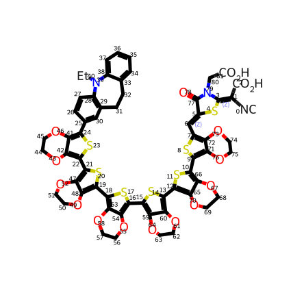 [C-]#[N+]/C(C(=O)O)=c1\s/c(=C\c2sc(-c3sc(-c4sc(-c5sc(-c6sc(-c7sc(-c8ccc9c(c8)CCc8ccccc8N9CC)c8c7OCCO8)c7c6OCCO7)c6c5OCCO6)c5c4OCCO5)c4c3OCCO4)c3c2OCCO3)c(=O)n1CC(=O)O